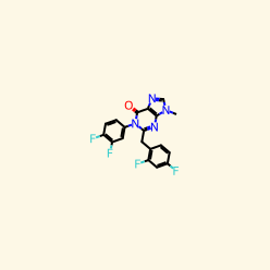 Cn1cnc2c(=O)n(-c3ccc(F)c(F)c3)c(Cc3ccc(F)cc3F)nc21